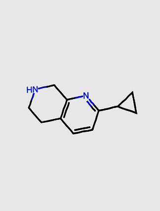 c1cc2c(nc1C1CC1)CNCC2